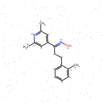 Cc1cc(C(C[CH]c2ccccc2C)=NO)cc(C)n1